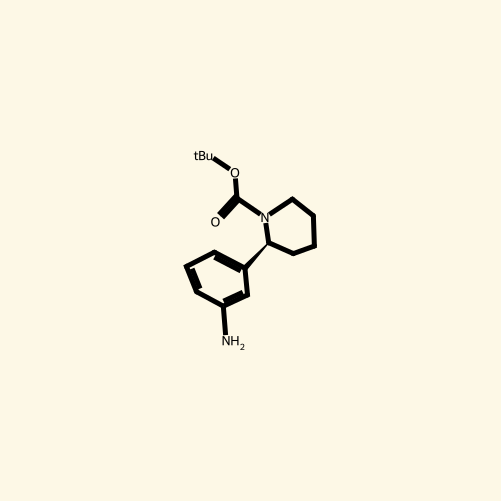 CC(C)(C)OC(=O)N1CCCC[C@H]1c1cccc(N)c1